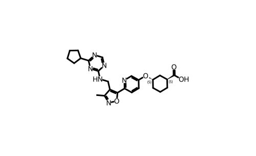 Cc1noc(-c2ccc(O[C@H]3CCC[C@H](C(=O)O)C3)cn2)c1CNc1ncnc(C2CCCC2)n1